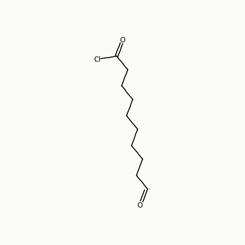 O=[C]CCCCCCCCC(=O)Cl